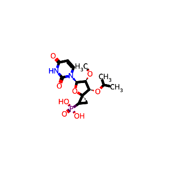 CO[C@H]1[C@H](n2ccc(=O)[nH]c2=O)O[C@@]2(CC2P(=O)(O)O)[C@H]1OC(C)C